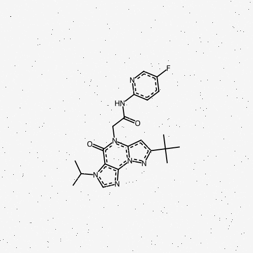 CC(C)n1cnc2c1c(=O)n(CC(=O)Nc1ccc(F)cn1)c1cc(C(C)(C)C)nn21